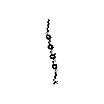 CCCCCCCOc1ccc(/N=N/c2ccc(/N=N/c3ccc(/N=N/c4ccc(OCCCCOC(C)=O)cc4)cc3C)cc2)cc1